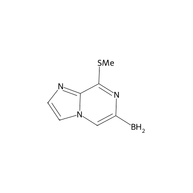 Bc1cn2ccnc2c(SC)n1